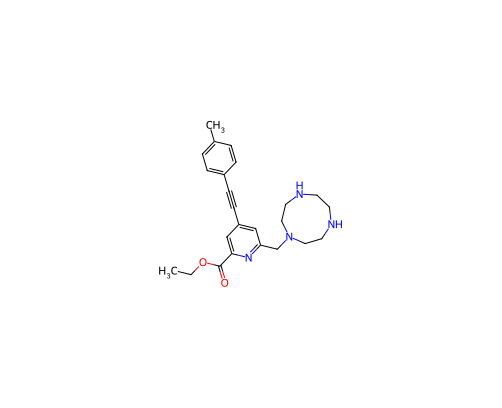 CCOC(=O)c1cc(C#Cc2ccc(C)cc2)cc(CN2CCNCCNCC2)n1